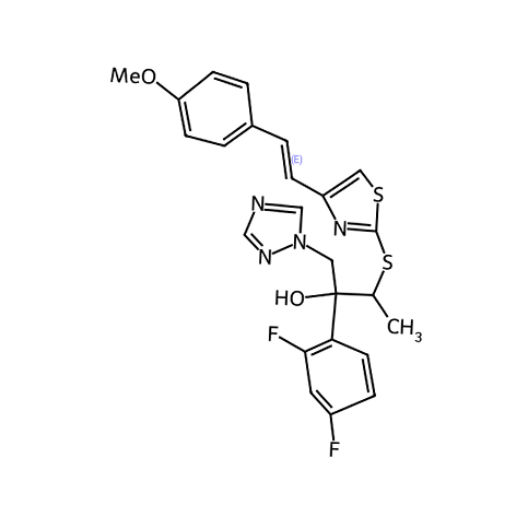 COc1ccc(/C=C/c2csc(SC(C)C(O)(Cn3cncn3)c3ccc(F)cc3F)n2)cc1